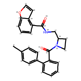 Cc1ccc(-c2ccccc2C(=O)N2CCC2CNC(=O)c2cccc3occc23)cc1